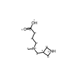 CN(CCCC(=O)O)CC1CNC1